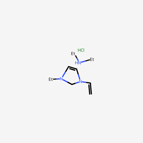 C=CN1C=CN(CC)C1.CCNCC.Cl